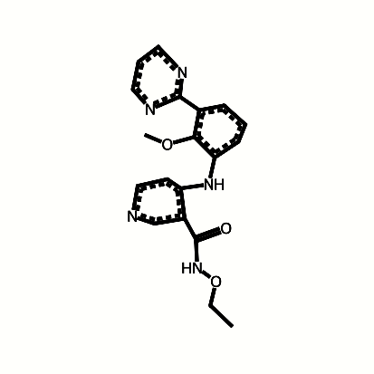 CCONC(=O)c1cnccc1Nc1cccc(-c2ncccn2)c1OC